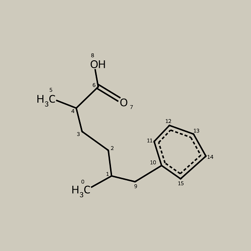 CC(CCC(C)C(=O)O)Cc1ccccc1